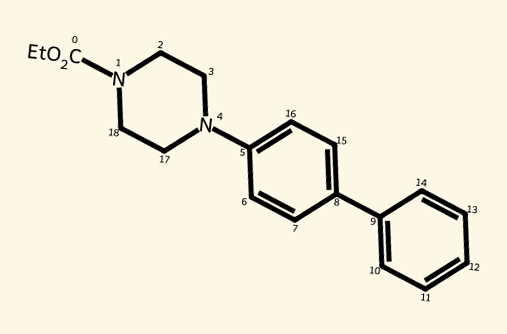 CCOC(=O)N1CCN(c2ccc(-c3ccccc3)cc2)CC1